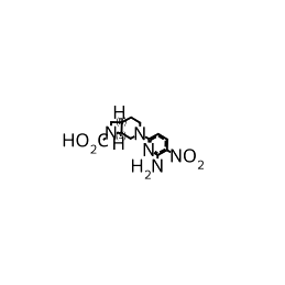 Nc1nc(N2CC[C@@H]3CN(C(=O)O)[C@@H]3C2)ccc1[N+](=O)[O-]